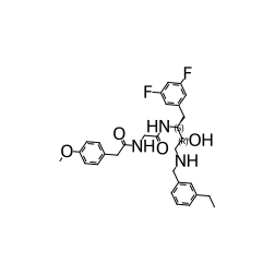 CCc1cccc(CNC[C@@H](O)[C@H](Cc2cc(F)cc(F)c2)NC(=O)CNC(=O)Cc2ccc(OC)cc2)c1